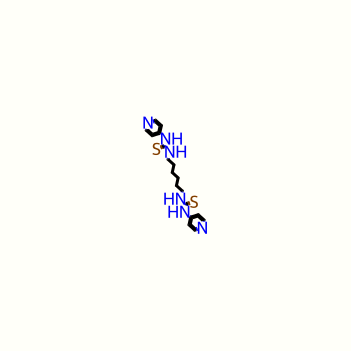 S=C(NCCCCCCNC(=S)Nc1ccncc1)Nc1ccncc1